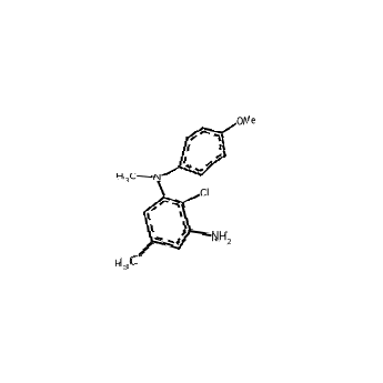 COc1ccc(N(C)c2cc(C)cc(N)c2Cl)cc1